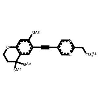 CCOC(=O)Cc1ncc(C#Cc2cc3c(cc2SC)OCCC3(SC)SC)cn1